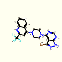 FC(F)(F)c1cc(N2CCN(c3ncnc4[nH]nc(Br)c34)CC2)c2ccccc2n1